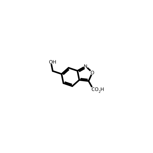 O=C(O)c1onc2cc(CO)ccc12